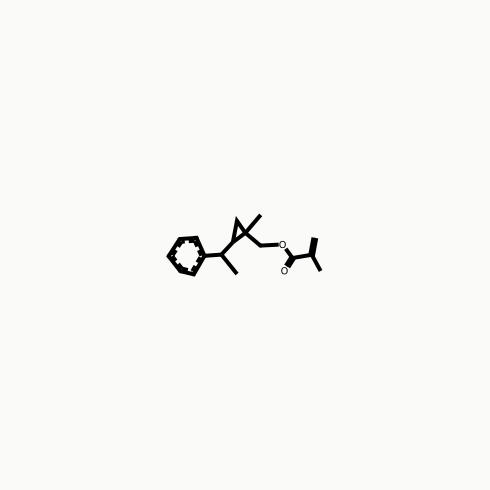 C=C(C)C(=O)OCC1(C)CC1C(C)c1ccccc1